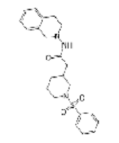 O=C(CC1CCCN(S(=O)(=O)c2ccccc2)C1)NN1CCc2ccccc2C1